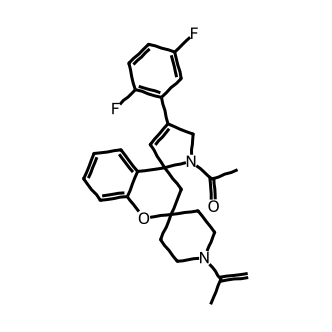 C=C(C)N1CCC2(CC1)CC1(C=C(c3cc(F)ccc3F)CN1C(C)=O)c1ccccc1O2